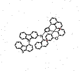 c1ccc2c(c1)Oc1ccccc1C21c2cc(N(c3ccc4c5ccccc5n(-c5cccc6sc7ccccc7c56)c4c3)c3cccc4ccccc34)ccc2-c2cccc3cccc1c23